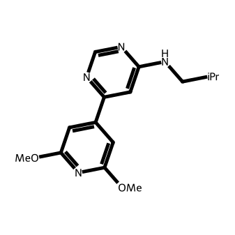 COc1cc(-c2cc(NCC(C)C)ncn2)cc(OC)n1